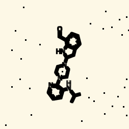 CC(C)Nc1cccnc1N1CCN(C2Cc3cccc(C=O)c3N2)CC1